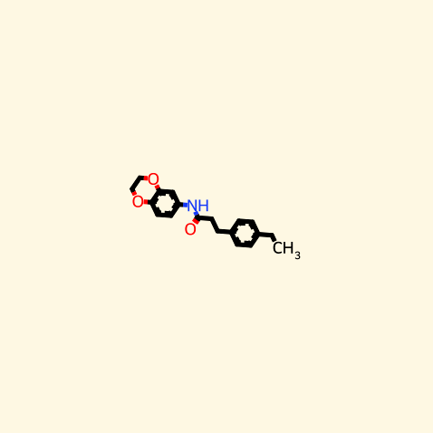 CCc1ccc(CCC(=O)Nc2ccc3c(c2)OCCO3)cc1